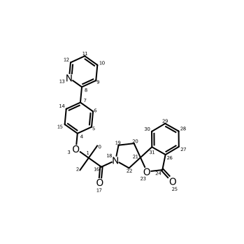 CC(C)(Oc1ccc(-c2ccccn2)cc1)C(=O)N1CCC2(C1)OC(=O)c1ccccc12